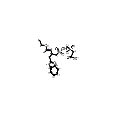 CCO/C(C)=C/C(Cc1nc2ccccc2o1)CS(=O)(=O)O.C[N+](C)(C)CC(=O)[O-]